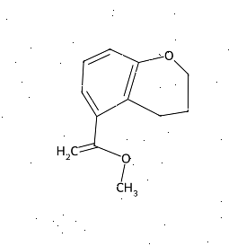 C=C(OC)c1cccc2c1CCCO2